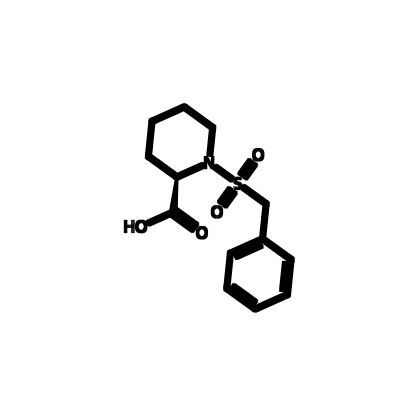 O=C(O)[C@H]1CCCCN1S(=O)(=O)Cc1ccccc1